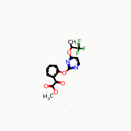 COC(=O)C(=O)c1ccccc1Oc1nccc(OC(C)C(F)(F)F)n1